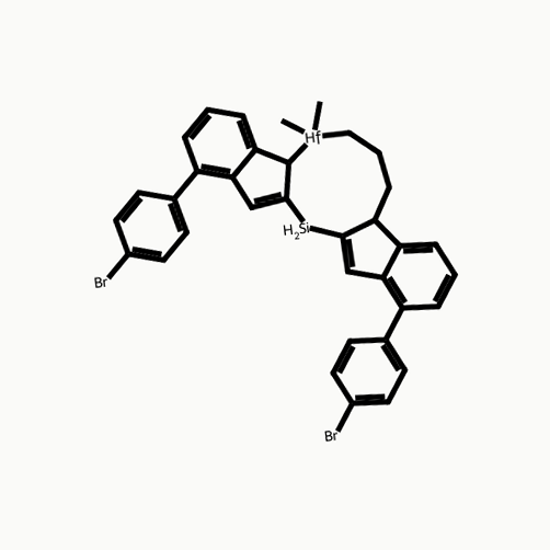 [CH3][Hf]1([CH3])[CH2]CCC2C(=Cc3c(-c4ccc(Br)cc4)cccc32)[SiH2]C2=Cc3c(-c4ccc(Br)cc4)cccc3[CH]21